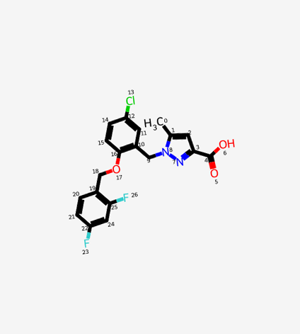 Cc1cc(C(=O)O)nn1Cc1cc(Cl)ccc1OCc1ccc(F)cc1F